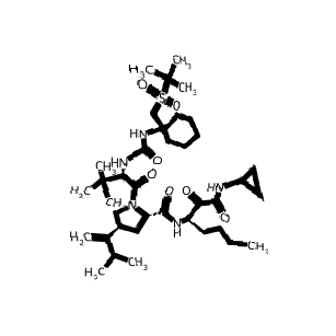 C=C(C(C)C)[C@@H]1C[C@@H](C(=O)N[C@H](CCCC)C(=O)C(=O)NC2CC2)N(C(=O)[C@@H](NC(=O)NC2(CS(=O)(=O)C(C)(C)C)CCCCC2)C(C)(C)C)C1